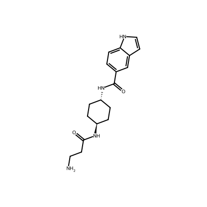 NCCC(=O)N[C@H]1CC[C@H](NC(=O)c2ccc3[nH]ccc3c2)CC1